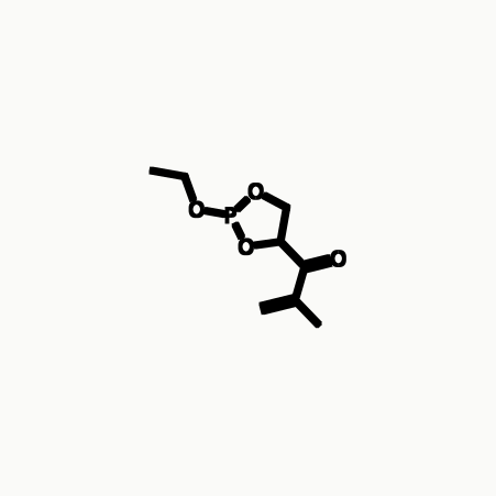 C=C(C)C(=O)C1COP(OCC)O1